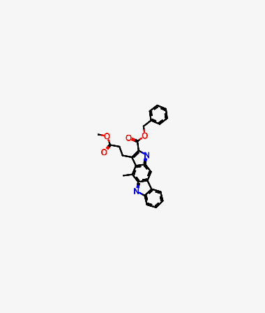 COC(=O)CCC1=C(C(=O)OCc2ccccc2)N=c2cc3c(c(C)c21)=Nc1ccccc1-3